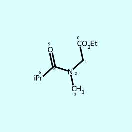 CCOC(=O)CN(C)C(=O)C(C)C